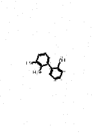 Nc1c(S)cccc1-c1ccccc1O